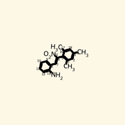 Cc1cc(C)c(C(=Cc2ccccc2N)[N+](=O)[O-])c(C)c1